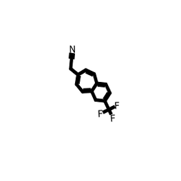 N#CCC1=CC=C2CC(C(F)(F)F)=CC=C2C=C1